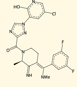 CN/C(=C1/CCN(C(=O)c2ncn(-c3cc(Cl)cnc3O)n2)[C@H](C)C1=N)c1cc(F)cc(F)c1